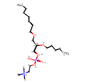 CCCCCCCCCCCCCCCCOC[C@H](COP(=O)(O)OCC[N+](C)(C)C)OCCCCC=O